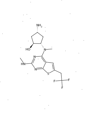 CNc1nc(N(C)[C@H]2C[C@@H](N)C[C@@H]2O)c2cc(CC(F)(F)F)sc2n1